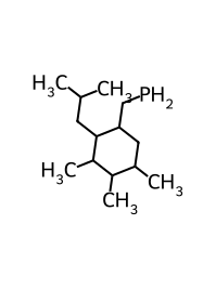 CC(C)CC1C(CP)CC(C)C(C)C1C